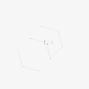 C[C@H]1C[C@]2(C)CCC[C@](C)(C1)N2